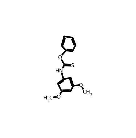 COc1cc(NC(=S)Oc2ccccc2)cc(OC)c1